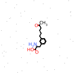 CC(=O)CCCCc1cccc(C[C@H](N)C(=O)O)c1